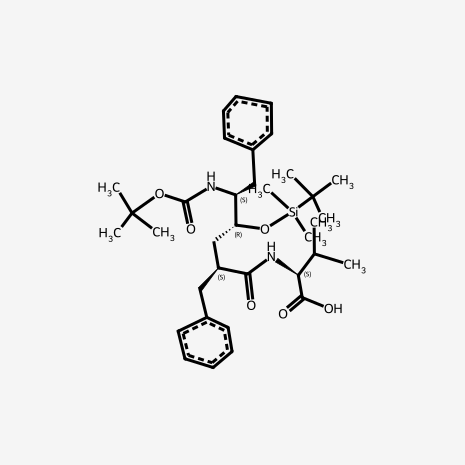 CC(C)[C@H](NC(=O)[C@@H](Cc1ccccc1)C[C@@H](O[Si](C)(C)C(C)(C)C)[C@H](Cc1ccccc1)NC(=O)OC(C)(C)C)C(=O)O